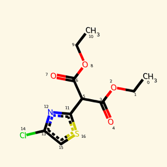 CCOC(=O)C(C(=O)OCC)c1nc(Cl)cs1